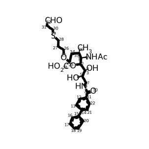 CC(=O)N[C@H]1C([C@H](O)[C@H](O)CNC(=O)c2ccc(-c3ccccc3)cc2)O[C@@](OCCCSCCC=O)(C(=O)O)C[C@@H]1C